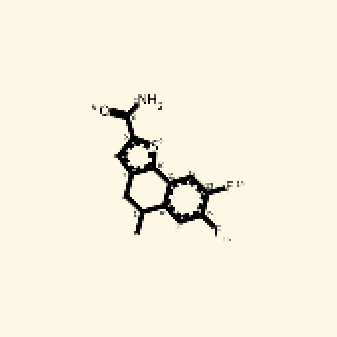 CC1Cc2cc(C(N)=O)sc2-c2cc(F)c(F)cc21